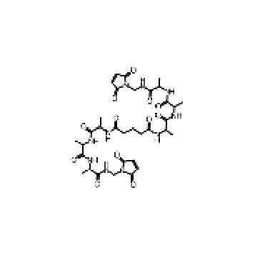 CC(NC(=O)CCCC(=O)NC(C)C(=O)NC(C)C(=O)NC(C)C(=O)NCN1C(=O)C=CC1=O)C(=O)NC(C)C(=O)NC(C)C(=O)NCN1C(=O)C=CC1=O